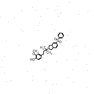 COc1cc(CCC(C)(C)N2CC3C=CC(S(=O)(=O)c4ccccc4)=CC3C2)ccc1O